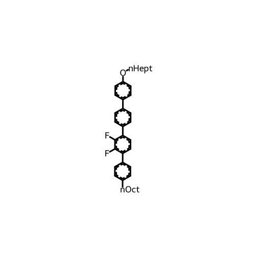 CCCCCCCCc1ccc(-c2ccc(-c3ccc(-c4ccc(OCCCCCCC)cc4)cc3)c(F)c2F)cc1